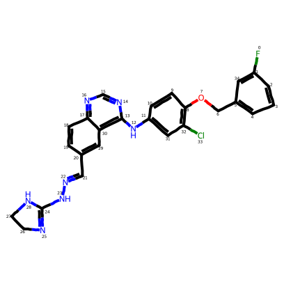 Fc1cccc(COc2ccc(Nc3ncnc4ccc(C=NNC5=NCCN5)cc34)cc2Cl)c1